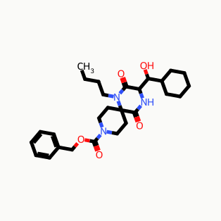 CCCCN1C(=O)C(C(O)C2CCCCC2)NC(=O)C12CCN(C(=O)OCc1ccccc1)CC2